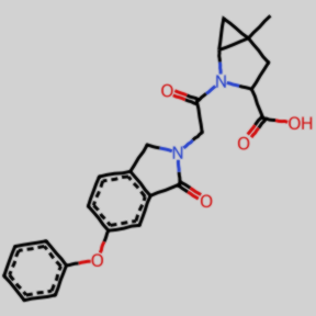 CC12CC(C(=O)O)N(C(=O)CN3Cc4ccc(Oc5ccccc5)cc4C3=O)C1C2